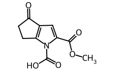 COC(=O)c1cc2c(n1C(=O)O)CCC2=O